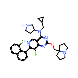 Fc1c(-c2cccc3cccc(Cl)c23)ncc2c(N(CC3CC3)C3CCNC3)nc(OCC34CCCN3CCC4)nc12